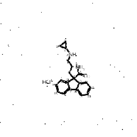 Cl.NC(=O)C1(CCCNC2CC2)c2ccccc2-c2ccccc21